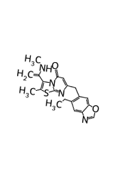 C=C(NC)c1c(C)sc2nc(Cc3cc4ocnc4cc3CC)cc(=O)n12